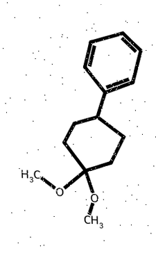 COC1(OC)CCC(c2ccccc2)CC1